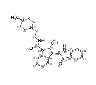 CN1CCN(CCNC(=O)N2c3ccccc3/C(=C3/Nc4ccccc4C3=O)C2O)CC1